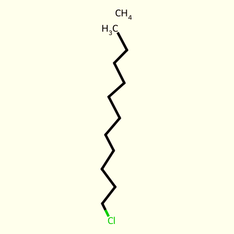 C.CCCCCCCCCCCCl